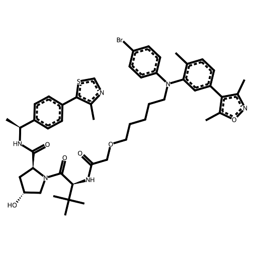 Cc1ccc(-c2c(C)noc2C)cc1N(CCCCCOCC(=O)N[C@H](C(=O)N1C[C@H](O)C[C@H]1C(=O)N[C@@H](C)c1ccc(-c2scnc2C)cc1)C(C)(C)C)c1ccc(Br)cc1